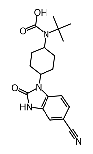 CC(C)(C)N(C(=O)O)C1CCC(n2c(=O)[nH]c3cc(C#N)ccc32)CC1